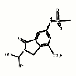 CCCC(CCC)N1Cc2c(C(=O)O)cc(NS(C)(=O)=O)cc2C1=O